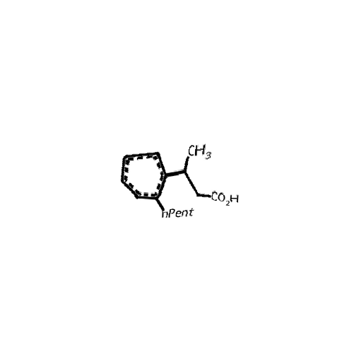 CCCCCc1ccccc1C(C)CC(=O)O